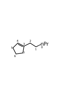 CCCCCC1=CCCC1